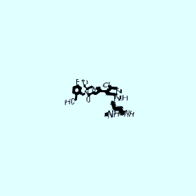 CN/C(=C\C=N)CNc1cc(-c2cc3n(c2)C[C@H](COC)N(Cc2cc(F)ccc2CO)C3=O)c(Cl)cn1